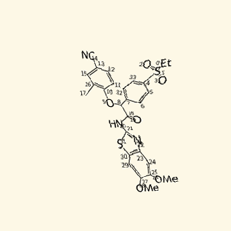 CCS(=O)(=O)c1ccc(C(Oc2ccc(C#N)cc2C)C(=O)Nc2nc3cc(OC)c(OC)cc3s2)cc1